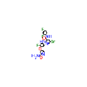 NC(=O)c1cc(Oc2ccc(Nc3ncc(Br)cc3C(=O)Nc3ccc(F)cc3F)cc2F)ccn1